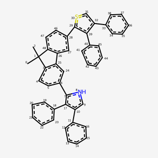 CC1(C)c2ccc(-c3[nH]cc(-c4ccccc4)c3-c3ccccc3)cc2-c2cc(-c3scc(-c4ccccc4)c3-c3ccccc3)ccc21